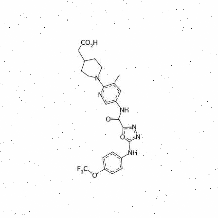 Cc1cc(NC(=O)c2nnc(Nc3ccc(OC(F)(F)F)cc3)o2)cnc1N1CCC(CC(=O)O)CC1